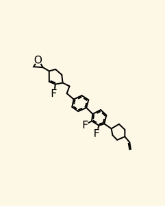 C=CC1CCC(c2ccc(-c3ccc(CCC4CCC(C5CO5)C=C4F)cc3)c(F)c2F)CC1